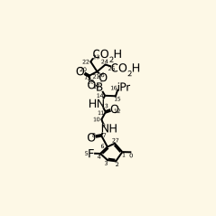 Cc1ccc(F)c(C(=O)NCC(=O)NC(CC(C)C)B2OC(=O)C(CC(=O)O)(CC(=O)O)O2)c1